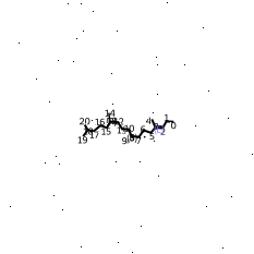 CC/C=C(\C)CC[CH][C@H](C)CCC[C@H](C)CCCC(C)C